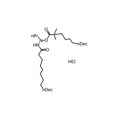 CCCCCCCCCCCCCCCCCC(=O)NN(CCC)OC(=O)C(C)(C)CCCCCCCCCCCCCC.Cl